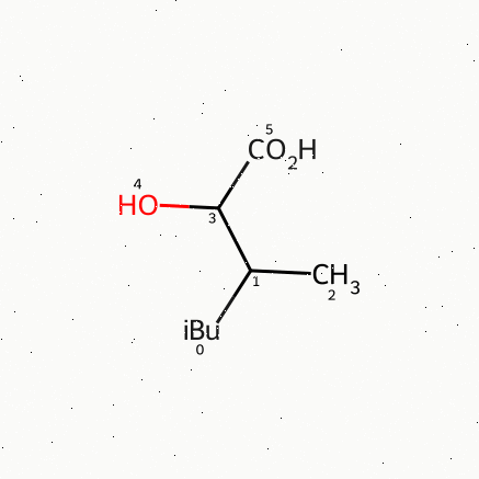 CCC(C)C(C)C(O)C(=O)O